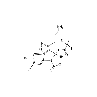 NCCCc1nonc1C1(OC(=O)C(F)(F)F)NOC(=O)N1c1ccc(F)c(Cl)c1